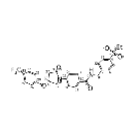 CCS(=O)(=O)c1ccc(CNC(=O)c2ccc(N3C[C@H](Oc4ccc(C(F)(F)F)cc4)CC3=O)cc2)cc1